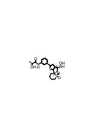 C[C@H](O)C(=O)Nc1cccc(-c2ccc([C@@]3(CC(=O)NO)CCCCS3(=O)=O)s2)c1